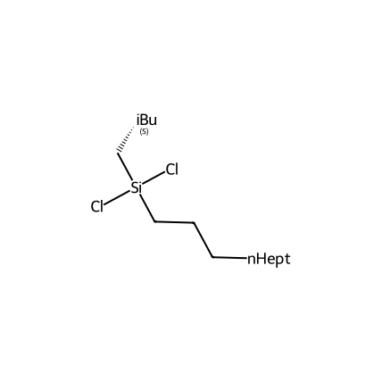 CCCCCCCCCC[Si](Cl)(Cl)C[C@@H](C)CC